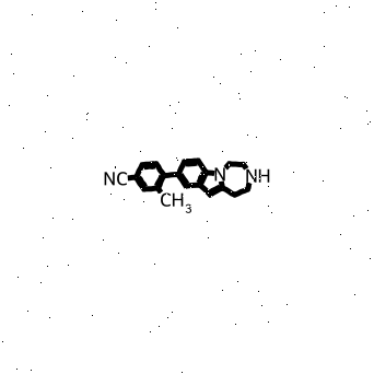 Cc1cc(C#N)ccc1-c1ccc2c(c1)cc1n2CCNCC1